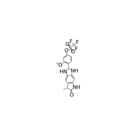 COc1cc(OS(=O)(=O)C(F)(F)F)ccc1C1Nc2cc3c(cc2N1)C(C)C(=O)N3